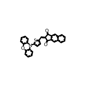 O=C1C(=Cc2ccc(N3c4ccccc4Oc4ccccc43)s2)C(=O)c2cc3ccccc3cc21